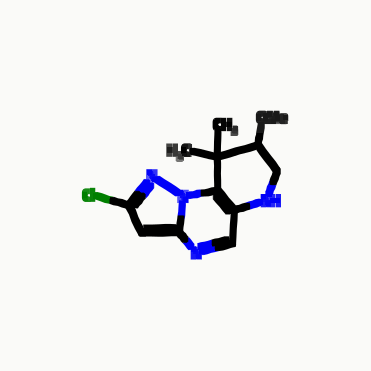 COC1CNc2cnc3cc(Cl)nn3c2C1(C)C